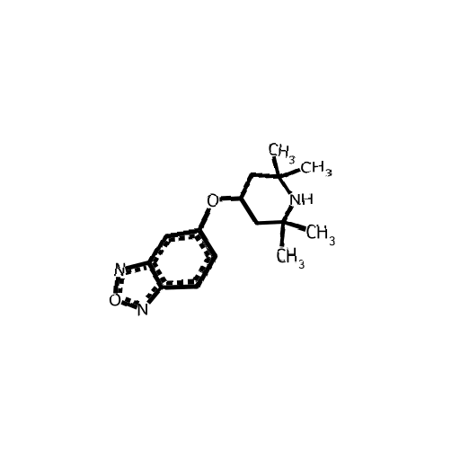 CC1(C)CC(Oc2ccc3nonc3c2)CC(C)(C)N1